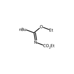 CCCCC(=NC(=O)OCC)OCC